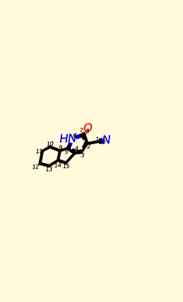 N#Cc1cc2c([nH]c1=O)C1CCCCC1C2